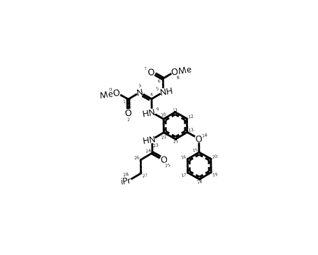 COC(=O)N=C(NC(=O)OC)Nc1ccc(Oc2ccccc2)cc1NC(=O)CCC(C)C